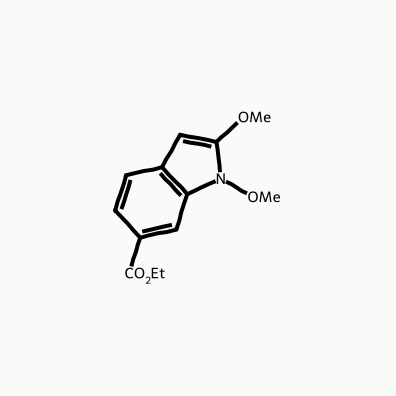 CCOC(=O)c1ccc2cc(OC)n(OC)c2c1